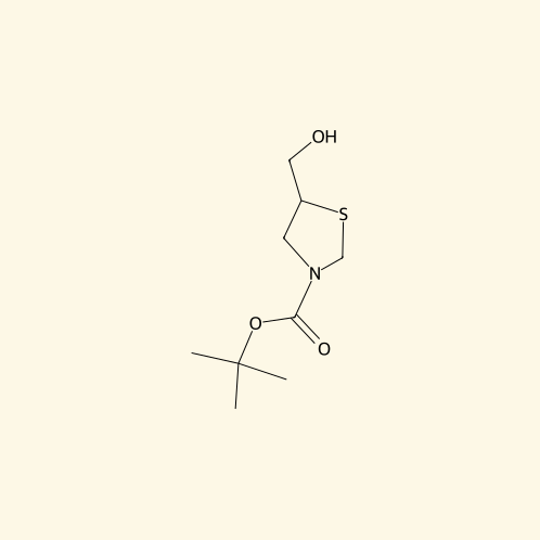 CC(C)(C)OC(=O)N1CSC(CO)C1